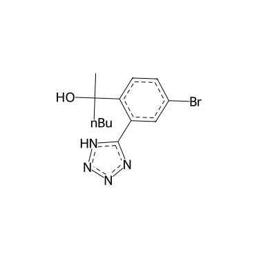 CCCCC(C)(O)c1ccc(Br)cc1-c1nnn[nH]1